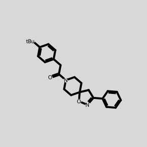 CC(C)(C)c1ccc(CC(=O)N2CCC3(CC2)CC(c2ccccc2)=NO3)cc1